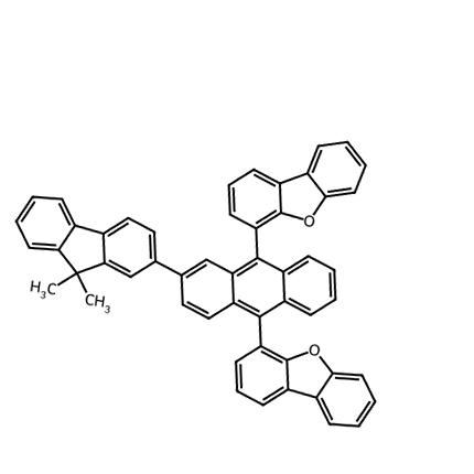 CC1(C)c2ccccc2-c2ccc(-c3ccc4c(-c5cccc6c5oc5ccccc56)c5ccccc5c(-c5cccc6c5oc5ccccc56)c4c3)cc21